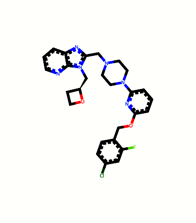 Fc1cc(Cl)ccc1COc1cccc(N2CCN(Cc3nc4cccnc4n3C[C@@H]3CCO3)CC2)n1